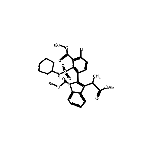 COC(=O)C(C)c1c(-c2ccc(Cl)c(C(=O)OC(C)(C)C)c2S(=O)(=O)NC2CCCCC2)n(C(=O)OC(C)(C)C)c2ccccc12